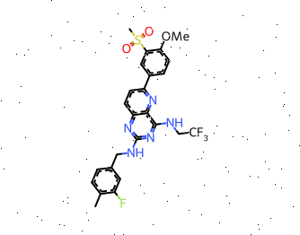 COc1ccc(-c2ccc3nc(NCc4ccc(C)c(F)c4)nc(NCC(F)(F)F)c3n2)cc1S(C)(=O)=O